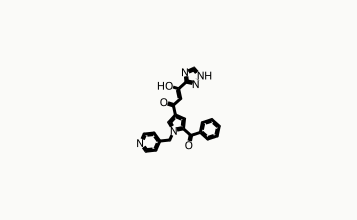 O=C(C=C(O)c1nc[nH]n1)c1cc(C(=O)c2ccccc2)n(Cc2ccncc2)c1